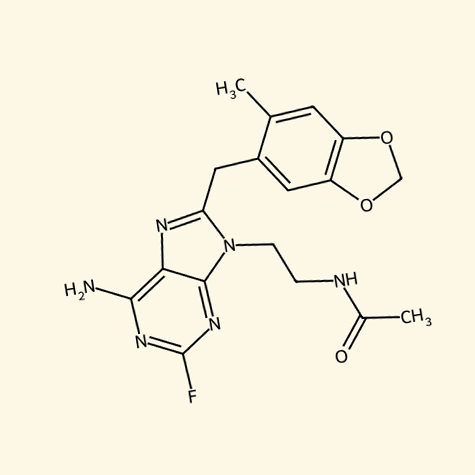 CC(=O)NCCn1c(Cc2cc3c(cc2C)OCO3)nc2c(N)nc(F)nc21